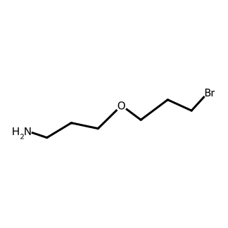 NCCCOCCCBr